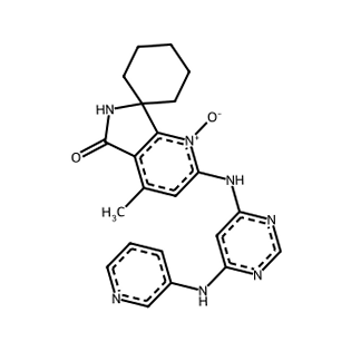 Cc1cc(Nc2cc(Nc3cccnc3)ncn2)[n+]([O-])c2c1C(=O)NC21CCCCC1